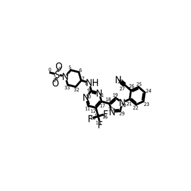 CS(=O)(=O)N1CCC(Nc2ncc(C(F)(F)F)c(-c3cn(-c4ccccc4C#N)cn3)n2)CC1